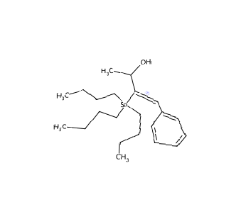 CCC[CH2][Sn]([CH2]CCC)([CH2]CCC)/[C](=C\c1ccccc1)C(C)O